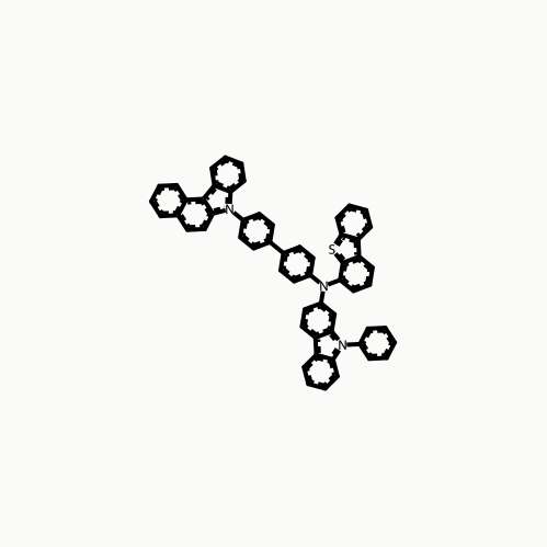 c1ccc(-n2c3ccccc3c3ccc(N(c4ccc(-c5ccc(-n6c7ccccc7c7c8ccccc8ccc76)cc5)cc4)c4cccc5c4sc4ccccc45)cc32)cc1